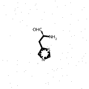 N[C@H]([C]=O)Cc1cncs1